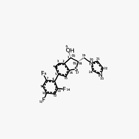 O[C@H]1c2ccc(-c3c(F)cc(F)cc3F)cc2S[C@H]1Cn1ccnc1